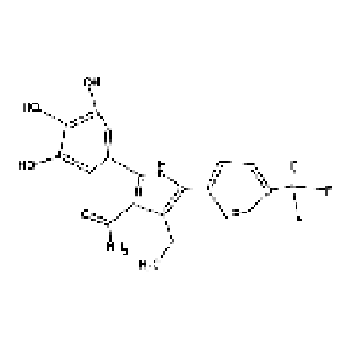 CCc1c(-c2ccc(C(F)(F)F)cc2)[nH]c(-c2cc(O)c(O)c(O)c2)c1C(N)=O